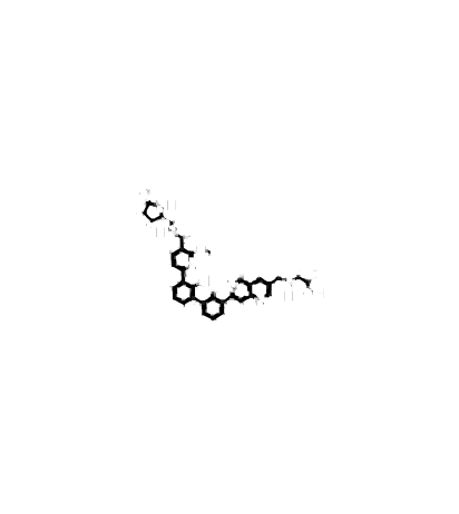 COc1nc(-c2cccc(-c3cccc(-c4cc5ncc(CNC[C@@H](C)O)cc5cn4)c3Cl)c2Cl)ccc1CNC[C@H]1CCC(=O)N1